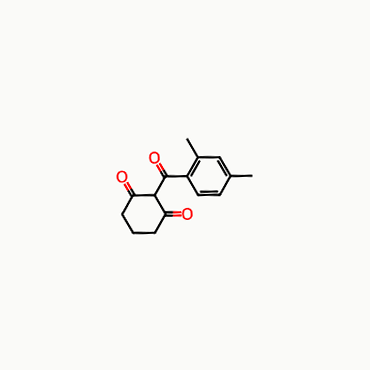 Cc1ccc(C(=O)C2C(=O)CCCC2=O)c(C)c1